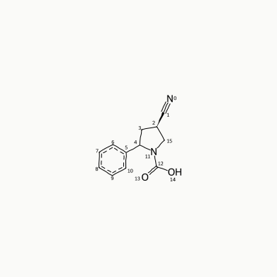 N#C[C@@H]1CC(c2ccccc2)N(C(=O)O)C1